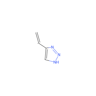 C=[C]c1c[nH]nn1